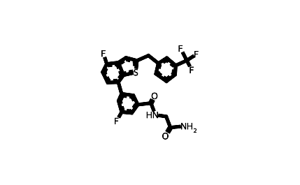 NC(=O)CNC(=O)c1cc(F)cc(-c2ccc(F)c3cc(Cc4cccc(C(F)(F)F)c4)sc23)c1